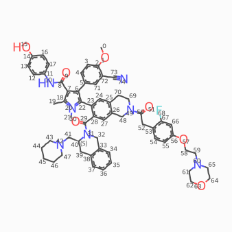 COc1ccc(-c2c(C(=O)Nc3ccc(O)cc3)c(C)n(C)c2-c2cc3c(cc2C(=O)N2Cc4ccccc4C[C@H]2CN2CCCCC2)CN(C(=O)Cc2ccc(OCCN4CCOCC4)cc2F)CC3)cc1C#N